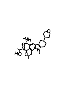 CCCc1c(C(=O)NC(C)O)c(C(=O)NC)cc2c3c(n(C)c12)CCC(C1CCOCC1)C3